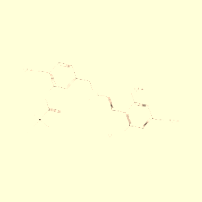 COc1cc(OC)c(C=C[S+]([O-])Cc2ccc(OC)c(OC(=O)C(F)(F)C(F)(F)F)c2)c(OC)c1